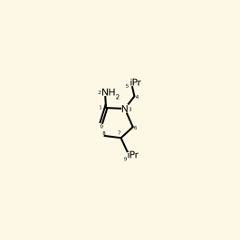 C=C(N)N(CC(C)C)CC(C)C(C)C